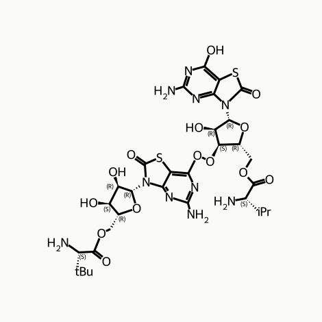 CC(C)[C@H](N)C(=O)OC[C@H]1O[C@@H](n2c(=O)sc3c(O)nc(N)nc32)[C@H](O)[C@@H]1OOc1nc(N)nc2c1sc(=O)n2[C@@H]1O[C@H](COC(=O)[C@@H](N)C(C)(C)C)[C@@H](O)[C@H]1O